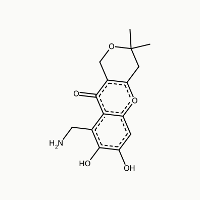 CC1(C)Cc2oc3cc(O)c(O)c(CN)c3c(=O)c2CO1